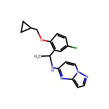 CC(Nc1ccn2nccc2n1)c1cc(F)ccc1OCC1CC1